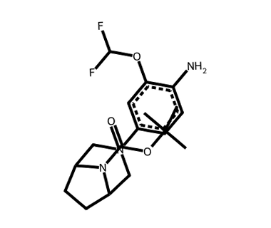 CC(C)(C)OC(=O)N1C2CCC1CN(c1ccc(N)c(OC(F)F)c1)C2